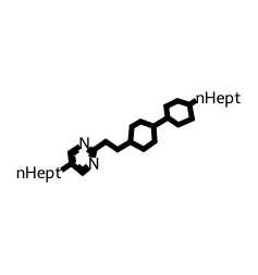 CCCCCCCc1cnc(CCC2CCC(C3CCC(CCCCCCC)CC3)CC2)nc1